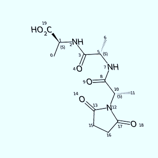 C[C@H](NC(=O)[C@H](C)NC(=O)[C@H](C)N1C(=O)CCC1=O)C(=O)O